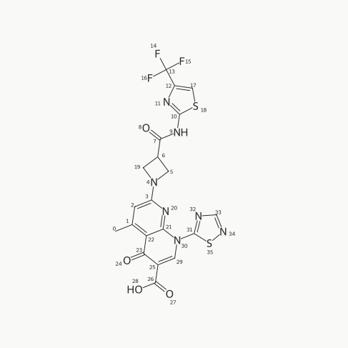 Cc1cc(N2CC(C(=O)Nc3nc(C(F)(F)F)cs3)C2)nc2c1c(=O)c(C(=O)O)cn2-c1ncns1